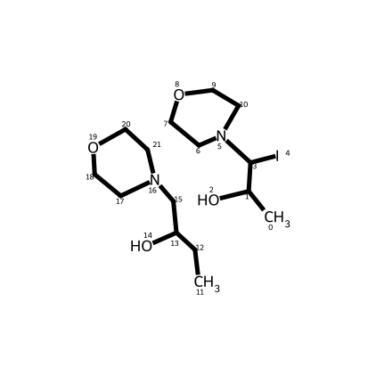 CC(O)C(I)N1CCOCC1.CCC(O)CN1CCOCC1